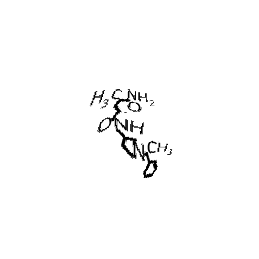 CC(C[CH]C(=O)NCC1CCN([C@@H](C)c2ccccc2)C1)C(N)=O